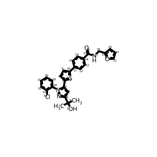 CC(C)(O)c1cc(-c2ccc(-c3ccc(C(=O)NCc4ccco4)cc3)s2)n(-c2ccccc2Cl)n1